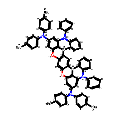 CC(C)(C)c1ccc(N(c2ccc(C(C)(C)C)cc2)c2cc3c4c(c2)N(c2ccccc2)c2ccccc2B4c2cc4c(cc2O3)Oc2cc(N(c3ccc(C(C)(C)C)cc3)c3ccc(C(C)(C)C)cc3)cc3c2B4c2ccccc2N3c2ccccc2)cc1